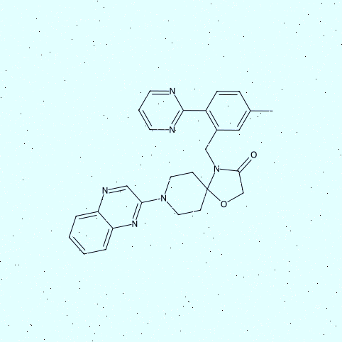 Cc1ccc(-c2ncccn2)c(CN2C(=O)COC23CCN(c2cnc4ccccc4n2)CC3)c1